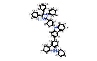 C1=CCCC(NC2=CCC(c3ccc4c(c3)c3ccccc3n4C3=CC=C(C4NC(C5=CCCC=C5)=C(c5ccccc5)N4C4=CCCC=C4)CC3)C=C2C2=CCCC=C2)=C1